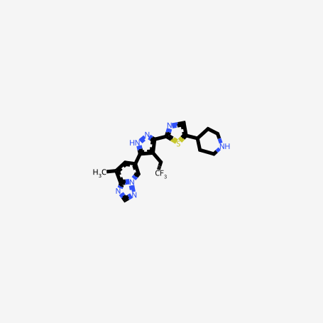 Cc1cc(-c2[nH]nc(-c3ncc(C4CCNCC4)s3)c2CC(F)(F)F)cn2ncnc12